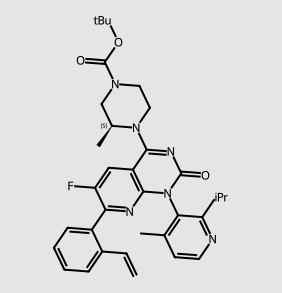 C=Cc1ccccc1-c1nc2c(cc1F)c(N1CCN(C(=O)OC(C)(C)C)C[C@@H]1C)nc(=O)n2-c1c(C)ccnc1C(C)C